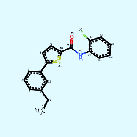 CCc1cccc(-c2ccc(C(=O)Nc3ccccc3F)s2)c1